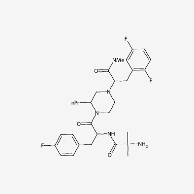 CCCC1CN(C(Cc2cc(F)ccc2F)C(=O)NC)CCN1C(=O)C(Cc1ccc(F)cc1)NC(=O)C(C)(C)N